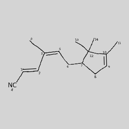 CC(C=CC#N)=CCC1CC=C(C)C1(C)C